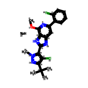 COc1nc(-c2ccccc2F)cc2nc(-c3c(Cl)c(C(C)(C)C)nn3C)[nH]c12.[NaH]